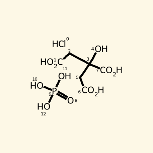 Cl.O=C(O)CC(O)(CC(=O)O)C(=O)O.O=P(O)(O)O